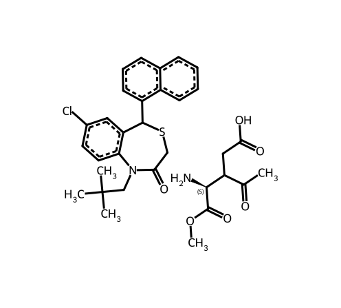 CC(C)(C)CN1C(=O)CSC(c2cccc3ccccc23)c2cc(Cl)ccc21.COC(=O)[C@@H](N)C(CC(=O)O)C(C)=O